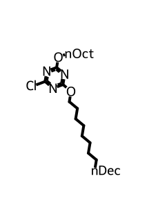 CCCCCCCCCCCCCCCCCCOc1nc(Cl)nc(OCCCCCCCC)n1